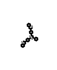 c1ccc(-c2cc(-c3ccc(-c4cnc5ccccc5c4)cc3)nc(-c3ccc(-c4cnc5ccccc5c4)cc3)n2)cc1